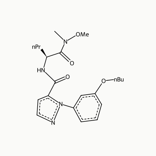 CCCCOc1cccc(-n2nccc2C(=O)N[C@@H](CCC)C(=O)N(C)OC)c1